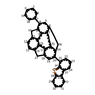 c1ccc(-c2cc3c4c5c2Cc2ccc6c(c25)c2c(cc(-c5cccc7c5sc5ccccc57)c(c24)C3)C6)cc1